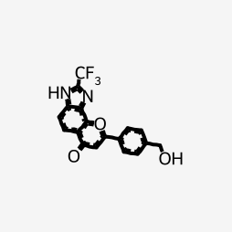 O=c1cc(-c2ccc(CO)cc2)oc2c1ccc1[nH]c(C(F)(F)F)nc12